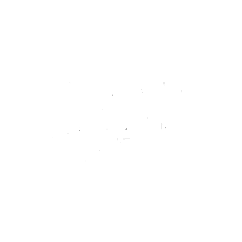 C=COc1cc(CCCCC)c(C#N)c(O)c1C1C=C(C)CCC1